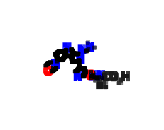 CC[C@H](COc1cncc(-c2cc3c(cnc4ccc(N5CCOCC5)cc43)c(N=CN(C)C)n2)c1)NC(=O)O